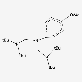 COc1ccc(N(CP(C(C)(C)C)C(C)(C)C)CP(C(C)(C)C)C(C)(C)C)cc1